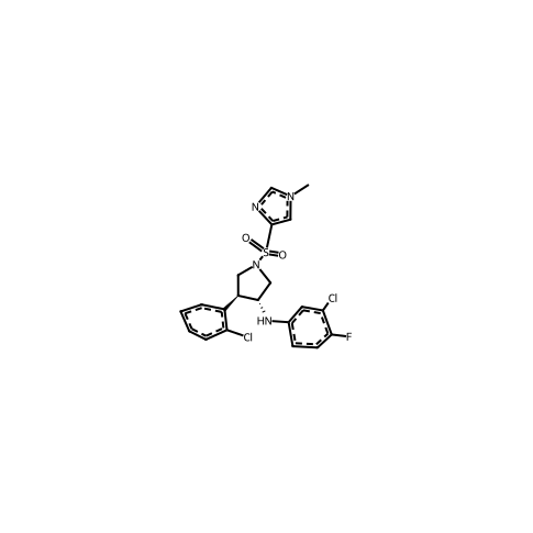 Cn1cnc(S(=O)(=O)N2C[C@H](Nc3ccc(F)c(Cl)c3)[C@@H](c3ccccc3Cl)C2)c1